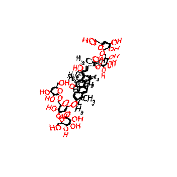 CC(C)(O)[C@@H](CC[C@](C)(O)[C@H]1CC[C@@]2(C)[C@@H]3CC=C4[C@@H](CC[C@H](O[C@@H]5O[C@H](CO[C@@H]6O[C@H](CO)C[C@H](O)[C@H]6O)[C@@H](O)[C@H](O)[C@H]5O[C@@H]5O[C@H](CO)[C@@H](O)[C@H](O)[C@H]5O)C4(C)C)[C@]3(C)C(=O)C[C@]12C)O[C@@H]1O[C@H](CO[C@@H]2O[C@H](CO)C[C@H](O)[C@H]2O)[C@@H](O)[C@H](O)[C@H]1O